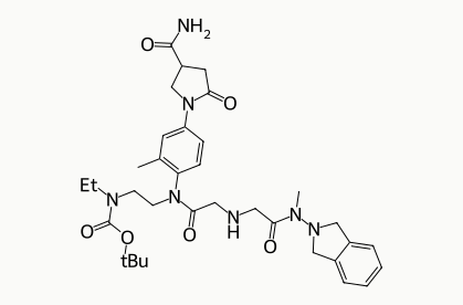 CCN(CCN(C(=O)CNCC(=O)N(C)N1Cc2ccccc2C1)c1ccc(N2CC(C(N)=O)CC2=O)cc1C)C(=O)OC(C)(C)C